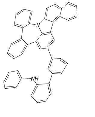 c1ccc(Nc2ccccc2-c2cccc(-c3cc4c5c(c3)c3c6ccccc6ccc3n5-c3ccccc3-c3ccccc3-4)c2)cc1